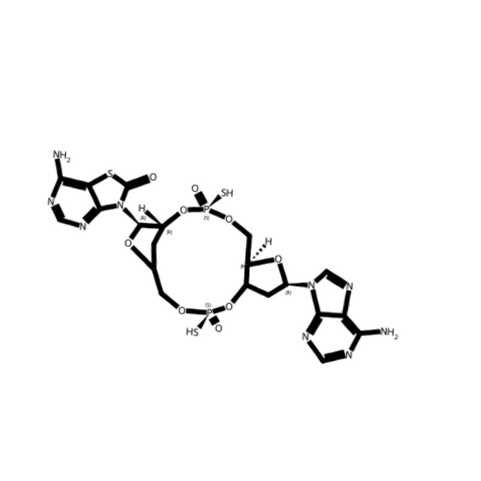 Nc1ncnc2c1ncn2[C@H]1CC2O[P@@](=O)(S)OCC3C[C@@H](O[P@@](=O)(S)OC[C@H]2O1)[C@H](n1c(=O)sc2c(N)ncnc21)O3